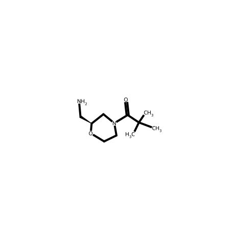 CC(C)(C)C(=O)N1CCO[C@@H](CN)C1